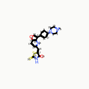 CN1CCN(c2ccc(-c3coc4ccc(/C=C5\SC(=S)NC5=O)nc34)cc2)CC1